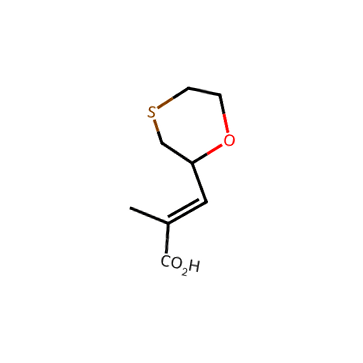 CC(=CC1CSCCO1)C(=O)O